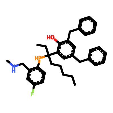 CCCCCC(CC)(Pc1ccc(F)cc1CNC)c1cc(Cc2ccccc2)cc(Cc2ccccc2)c1O